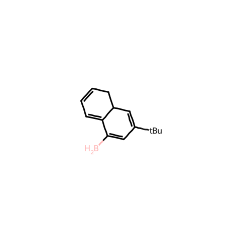 BC1=CC(C(C)(C)C)=CC2CC=CC=C12